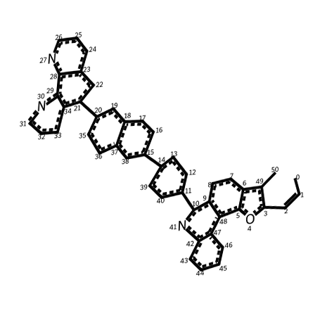 C/C=C\c1oc2c(ccc3c(-c4ccc(-c5ccc6cc(-c7cc8cccnc8c8ncccc78)ccc6c5)cc4)nc4ccccc4c32)c1C